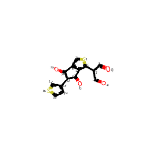 O=[C]C([C]=O)c1scc2c1C(=O)C(c1ccsc1)C2=O